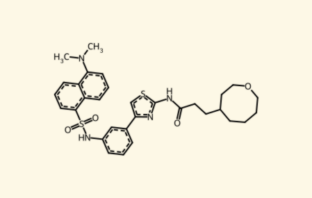 CN(C)c1cccc2c(S(=O)(=O)Nc3cccc(-c4csc(NC(=O)CCC5CCCCOCC5)n4)c3)cccc12